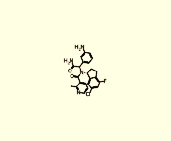 Cc1ncccc1C(=O)N([C@@H]1CCc2c(F)cc(Cl)cc21)[C@@H](C(N)=O)c1cccc(N)c1